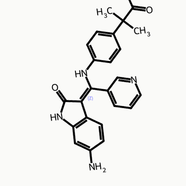 COC(=O)C(C)(C)c1ccc(N/C(=C2\C(=O)Nc3cc(N)ccc32)c2cccnc2)cc1